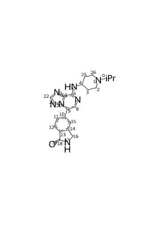 CC(C)N1CCC(Nc2ncc(-c3ccc4c(c3)CNC4=O)n3ncnc23)CC1